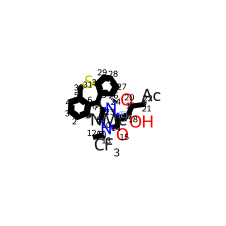 CNc1cccc2c1[C@H](C1CN([C@H](C)C(F)(F)F)C(=O)/C(=C(\O)C(=O)CC(C)=O)N1C)c1ccccc1SC2